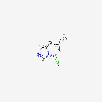 FC(F)(F)c1cc(Cl)n2cncc2c1